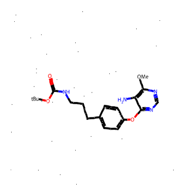 COc1ncnc(Oc2ccc(CCCNC(=O)OC(C)(C)C)cc2)c1N